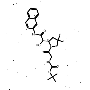 CC(C)(C)OC(=O)NCC(=O)N1CC(F)(F)C[C@H]1C(O)C(=O)Nc1ccc2ccccc2c1